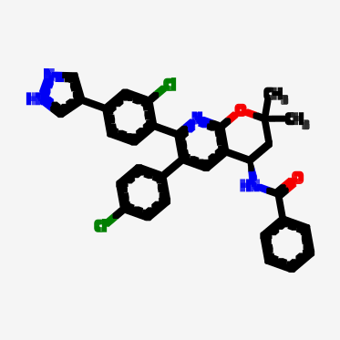 CC1(C)C[C@@H](NC(=O)c2ccccc2)c2cc(-c3ccc(Cl)cc3)c(-c3ccc(-c4cn[nH]c4)cc3Cl)nc2O1